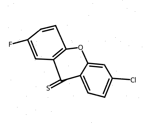 Fc1ccc2oc3cc(Cl)ccc3c(=S)c2c1